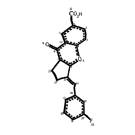 O=C(O)c1ccc2oc3c(c(=O)c2c1)CCC3=Cc1cccc(F)c1